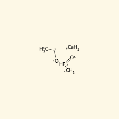 CCO[PH](C)=O.[CaH2]